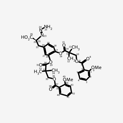 COc1ccccc1C(=O)OCC(C)(C)C(=O)Oc1ccc(C[C@H](N=NN)C(=O)O)cc1OC(=O)C(C)(C)COC(=O)c1ccccc1OC